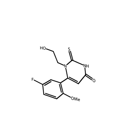 COc1ccc(F)cc1-c1cc(=O)[nH]c(=S)n1CCO